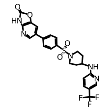 O=c1[nH]c2ncc(-c3ccc(S(=O)(=O)N4CCC(Nc5ccc(C(F)(F)F)cn5)CC4)cc3)cc2o1